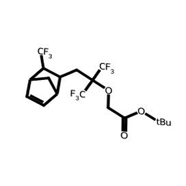 CC(C)(C)OC(=O)COC(CC1C2C=CC(C2)C1C(F)(F)F)(C(F)(F)F)C(F)(F)F